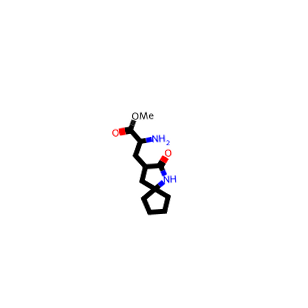 COC(=O)C(N)CC1CC2(CCCC2)NC1=O